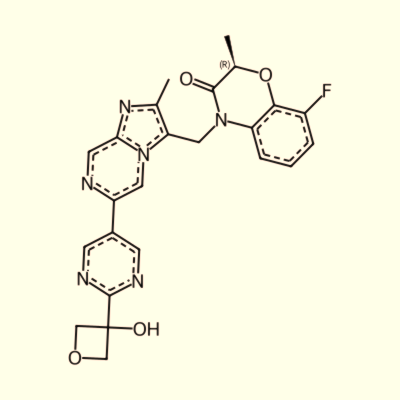 Cc1nc2cnc(-c3cnc(C4(O)COC4)nc3)cn2c1CN1C(=O)[C@@H](C)Oc2c(F)cccc21